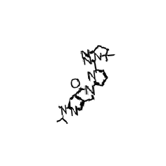 CC(C)N(C)c1cc2c(cn1)CN(c1cccc(-c3nnc4n3C(C)(C)CC4)n1)C2=O